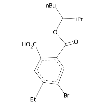 CCCCC(OC(=O)c1cc(Br)c(CC)cc1C(=O)O)C(C)C